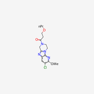 CCCOCCC(=O)N1CCn2c(nc3cc(Cl)c(OC)nc32)C1